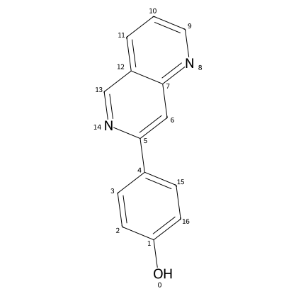 Oc1ccc(-c2cc3ncccc3cn2)cc1